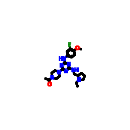 CCN1CCCC1CNc1nc(Nc2ccc(OC)c(F)c2)nc(N2CCN(C(C)=O)CC2)n1